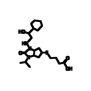 CC(C)N1C(=O)N(NCC(O)C2CCCCC2)C2CC(SCCCC(=O)O)CC21